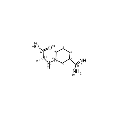 C[C@@H](NN1CCCC(C(=N)N)C1)C(=O)O